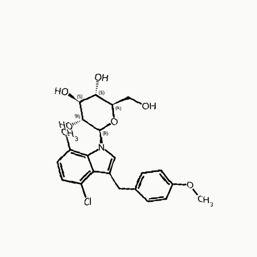 COc1ccc(Cc2cn([C@@H]3O[C@H](CO)[C@@H](O)[C@H](O)[C@H]3O)c3c(C)ccc(Cl)c23)cc1